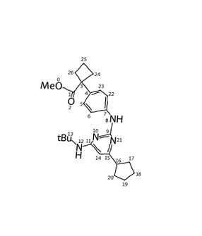 COC(=O)C1(c2ccc(Nc3nc(NC(C)(C)C)cc(C4CCCC4)n3)cc2)CCC1